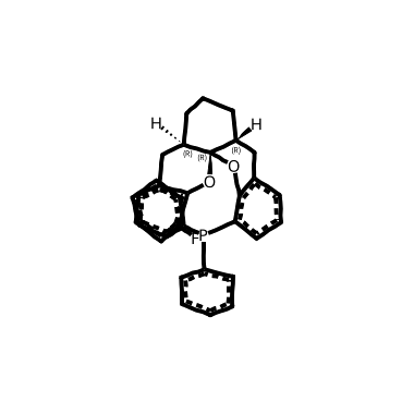 Fc1cccc2c1O[C@]13Oc4c(cccc4P(c4ccccc4)c4ccccc4)C[C@H]1CCC[C@@H]3C2